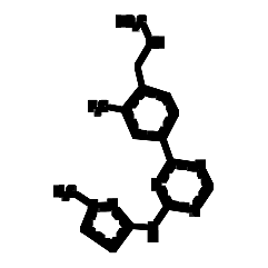 Cn1ccc(Nc2ncnc(-c3ccc(CNC(=O)O)c(C(F)(F)F)c3)n2)n1